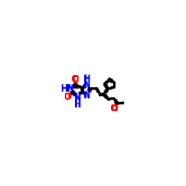 CC(=O)CCC(CCc1nc2[nH]c(=O)[nH]c(=O)c2[nH]1)C1CCCC1